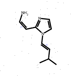 CC(C)/C=C/n1ccnc1/C=C\N